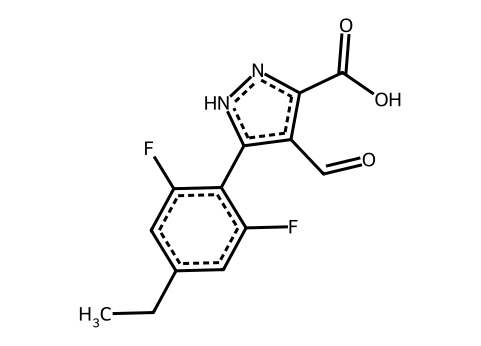 CCc1cc(F)c(-c2[nH]nc(C(=O)O)c2C=O)c(F)c1